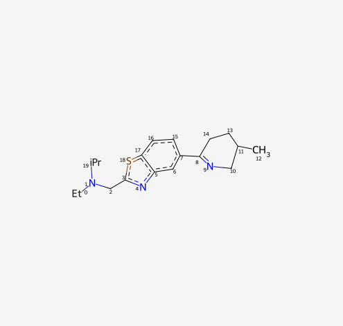 CCN(Cc1nc2cc(C3=NCC(C)CC3)ccc2s1)C(C)C